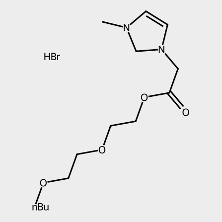 Br.CCCCOCCOCCOC(=O)CN1C=CN(C)C1